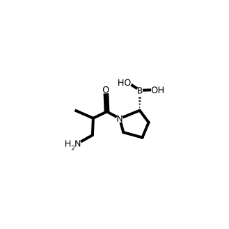 CC(CN)C(=O)N1CCC[C@H]1B(O)O